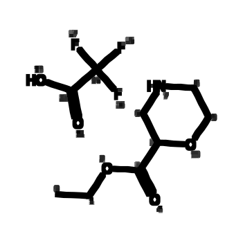 CCOC(=O)C1CNCCO1.O=C(O)C(F)(F)F